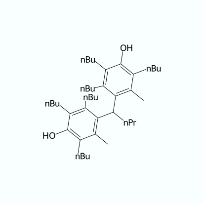 CCCCc1c(C)c(C(CCC)c2c(C)c(CCCC)c(O)c(CCCC)c2CCCC)c(CCCC)c(CCCC)c1O